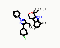 CCc1cccc2c3c([nH]c12)C(CC)(CC(=O)O)OCC3.O=C(O)Cc1cn(-c2ccccc2)nc1-c1ccc(Cl)cc1